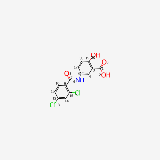 O=C(O)c1cc(NC(=O)c2ccc(Cl)cc2Cl)ccc1O